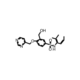 C/C=C\C(NS(=O)(=O)c1ccc(OCc2ccncn2)c(CO)c1)=C(C)C